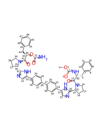 COC(=O)N[C@H](Cc1ccccc1)C(=O)N1CCC[C@H]1c1ncc(-c2ccc(-c3ccc(-c4cnc([C@@H]5CCCN5C(=O)[C@@H](Cc5ccccc5)OC(N)=O)[nH]4)cc3)cc2)[nH]1